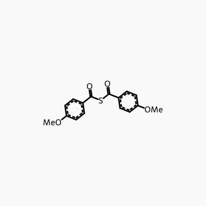 COc1ccc(C(=O)SC(=O)c2ccc(OC)cc2)cc1